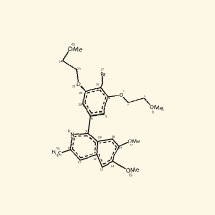 COCCOc1cc(-c2nc(C)cc3cc(OC)c(OC)cc23)cc(OCCOC)c1Br